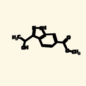 COC(=O)c1ccc2c(C(C)O)n[nH]c2c1